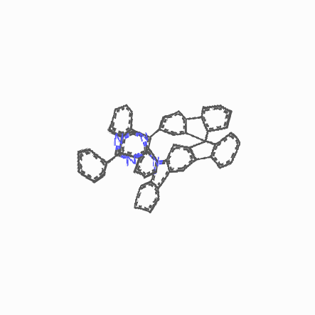 c1ccc(-c2c3ccccc3c(-c3ccc4c(c3)C3(c5ccccc5-4)c4ccccc4-c4cc5c6ccccc6n(-c6ncncn6)c5cc43)c3ccccc23)cc1